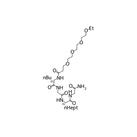 CCCCCCC[C@H](NC(=O)CNC(=O)[C@H](CCCC)NC(=O)CCOCCOCCOCCOCC)C(=O)NCC(N)=O